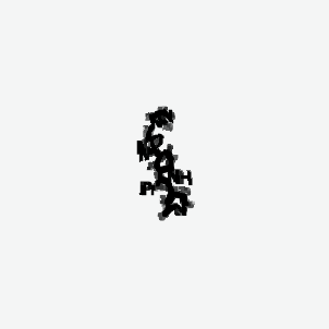 Cc1cc(-c2[nH]c3ccc(-c4nnc(Cn5ccnc5)o4)cc3c2C(C)C)ccn1